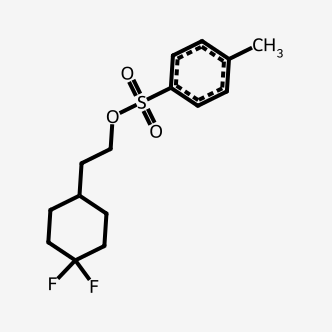 Cc1ccc(S(=O)(=O)OCCC2CCC(F)(F)CC2)cc1